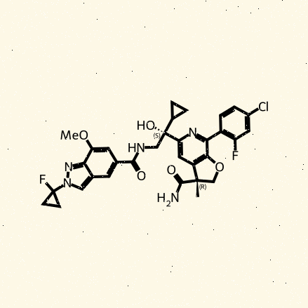 COc1cc(C(=O)NC[C@](O)(c2cc3c(c(-c4ccc(Cl)cc4F)n2)OC[C@]3(C)C(N)=O)C2CC2)cc2cn(C3(F)CC3)nc12